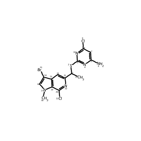 CC(Sc1nc(N)cc(Cl)n1)c1cc2c(Br)cn(C)c2c(Cl)n1